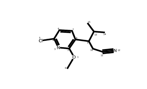 COc1nc(Cl)ccc1C(CC#N)C(C)C